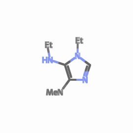 CCNc1c(NC)ncn1CC